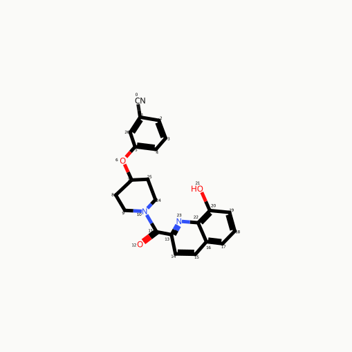 N#Cc1cccc(OC2CCN(C(=O)c3ccc4cccc(O)c4n3)CC2)c1